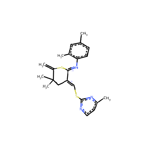 C=C1SC(=N\c2ccc(C)cc2C)/C(=C/Sc2nccc(C)n2)CC1(C)C